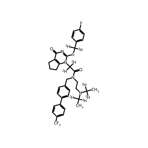 [2H]C([2H])(Sc1nc(=O)c2c(n1C([2H])([2H])C(=O)N(CCN(C([2H])([2H])C)C([2H])([2H])C)Cc1ccc(-c3ccc(C(F)(F)F)cc3)cc1)CCC2)c1ccc(F)cc1